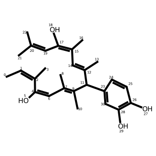 C\C=C(C)/C(O)=C\C(C)=C(/C)C(/C(C)=C/C(C)=C(/O)C=C(C)C)c1ccc(O)c(O)c1